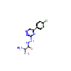 CC(N)C(=O)NNc1nncc(-c2ccc(Cl)cc2)n1